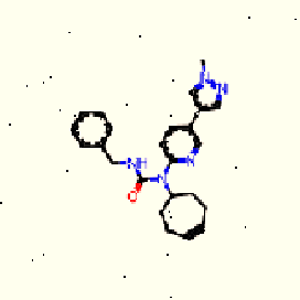 Cn1cc(-c2ccc(N(C(=O)NCc3ccccc3)C3CCC#CCC3)nc2)cn1